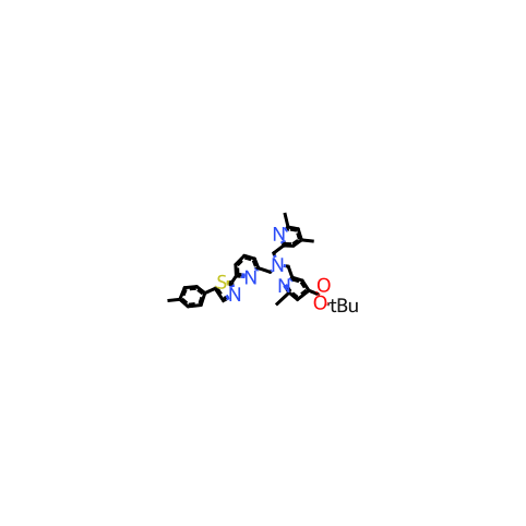 Cc1ccc(-c2cnc(-c3cccc(CN(Cc4cc(C)cc(C)n4)Cc4cc(C(=O)OC(C)(C)C)cc(C)n4)n3)s2)cc1